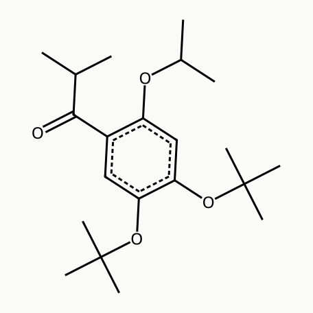 CC(C)Oc1cc(OC(C)(C)C)c(OC(C)(C)C)cc1C(=O)C(C)C